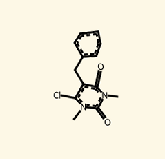 Cn1c(Cl)c(Cc2ccccc2)c(=O)n(C)c1=O